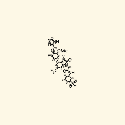 COc1cc(-c2cc(C(F)(F)F)cc3c2n(C)c(=O)n3CC(=O)Nc2cccc(S(C)(=O)=O)c2)cc(F)c1OCc1nnc[nH]1